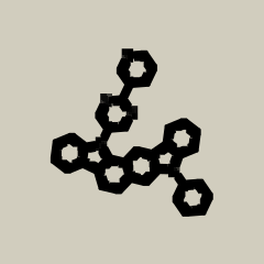 c1ccc(-n2c3ccccc3c3cc4c(ccc5c6ccccc6n(-c6cnc(-c7cccnc7)nc6)c45)cc32)cc1